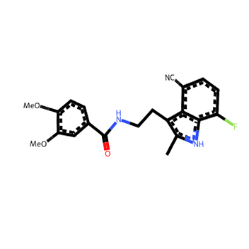 COc1ccc(C(=O)NCCc2c(C)[nH]c3c(F)ccc(C#N)c23)cc1OC